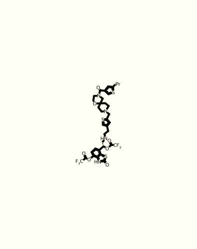 CC(C)c1cc(C(=O)N2CCOC3(CCN(Cc4cc(CCNC[C@H](OC(=O)C(F)(F)F)c5ccc(OC(=O)C(F)(F)F)c6[nH]c(=O)sc56)cs4)CC3)C2)cs1